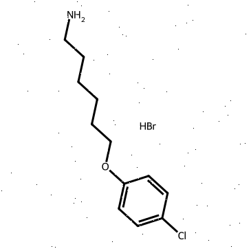 Br.NCCCCCCOc1ccc(Cl)cc1